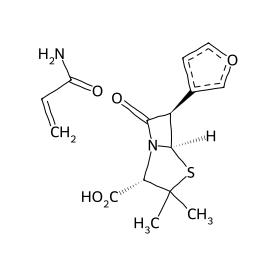 C=CC(N)=O.CC1(C)S[C@@H]2[C@H](c3ccoc3)C(=O)N2[C@H]1C(=O)O